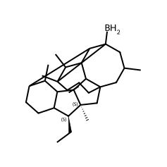 BC12CC(C)CC34CC=CC1(C)C(C)C1C3C3C5C(C)C(CCC5[C@H](CC)[C@]3(C)C4)C12